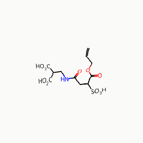 C=CCOC(=O)C(CC(=O)NCC(C(=O)O)C(=O)O)S(=O)(=O)O